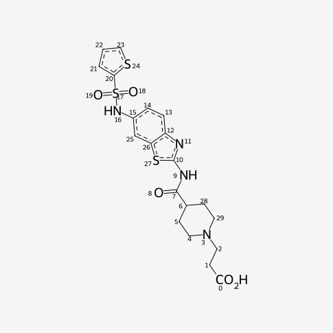 O=C(O)CCN1CCC(C(=O)Nc2nc3ccc(NS(=O)(=O)c4cccs4)cc3s2)CC1